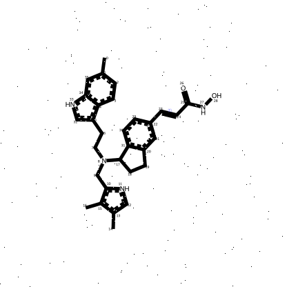 Cc1ccc2c(CCN(Cc3[nH]cc(C)c3C)C3CCc4cc(/C=C/C(=O)NO)ccc43)c[nH]c2c1